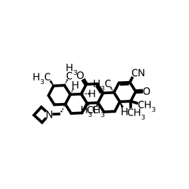 C[C@@H]1[C@H]2[C@H]3C(=O)C=C4[C@@]5(C)C=C(C#N)C(=O)C(C)(C)[C@@H]5CC[C@@]4(C)[C@]3(C)CC[C@@]2(CN2CCC2)CC[C@H]1C